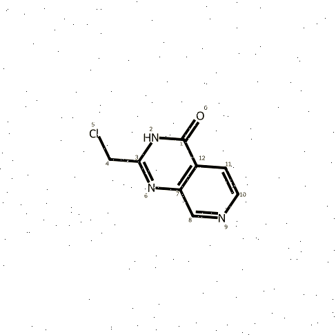 O=c1[nH]c(CCl)nc2cnccc12